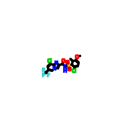 COC1=CC=C(Cl)C(S(=O)(=O)NC(=O)c2cn3cc(C(F)(F)F)cc(Cl)c3n2)C1C